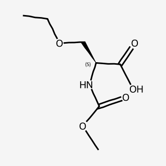 CCOC[C@H](NC(=O)OC)C(=O)O